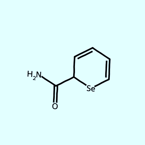 NC(=O)C1C=CC=C[Se]1